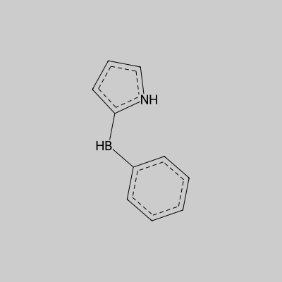 B(c1ccccc1)c1ccc[nH]1